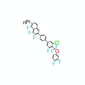 CCCc1ccc2cc(-c3ccc(-c4cc(F)c(C(F)(F)Oc5ccc(F)c(F)c5)c(Cl)c4)cc3)c(F)c(F)c2c1F